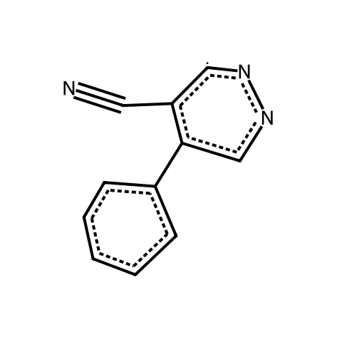 N#Cc1[c]nncc1-c1ccccc1